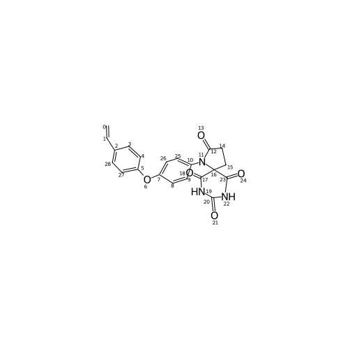 C=Cc1ccc(Oc2ccc(N3C(=O)CCC34C(=O)NC(=O)NC4=O)cc2)cc1